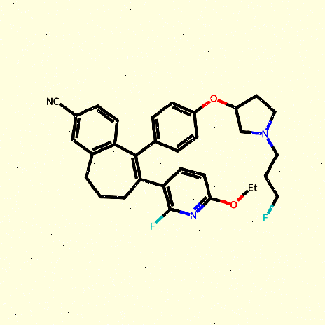 CCOc1ccc(C2=C(c3ccc(OC4CCN(CCCF)C4)cc3)c3ccc(C#N)cc3CCC2)c(F)n1